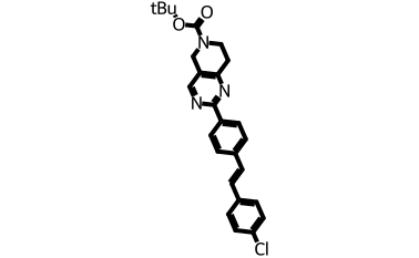 CC(C)(C)OC(=O)N1CCc2nc(-c3ccc(C=Cc4ccc(Cl)cc4)cc3)ncc2C1